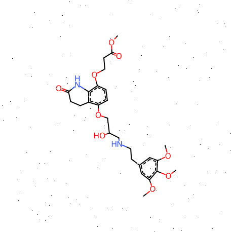 COC(=O)CCOc1ccc(OCC(O)CNCCc2cc(OC)c(OC)c(OC)c2)c2c1NC(=O)CC2